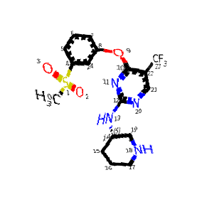 CS(=O)(=O)c1cccc(Oc2nc(N[C@H]3CCCNC3)ncc2C(F)(F)F)c1